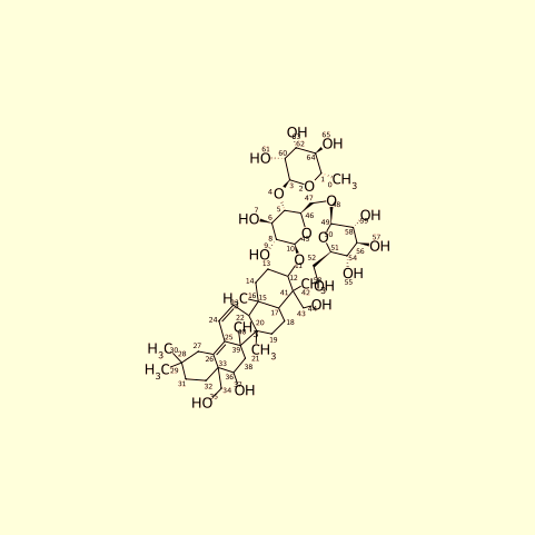 C[C@@H]1O[C@@H](O[C@H]2[C@H](O)[C@@H](O)[C@H](OC3CCC4(C)C(CCC5(C)C4C=CC4=C6CC(C)(C)CCC6(CO)C(O)CC45C)C3(C)CO)O[C@@H]2CO[C@@H]2O[C@H](CO)[C@@H](O)[C@H](O)[C@H]2O)[C@H](O)[C@H](O)[C@H]1O